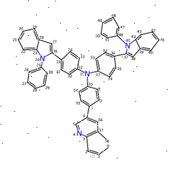 C/C=C\c1ncc(-c2ccc(N(c3ccc(-c4cc5ccccc5n4-c4ccccc4)cc3)c3ccc(-c4cc5ccccc5n4-c4ccccc4)cc3)cc2)cc1C